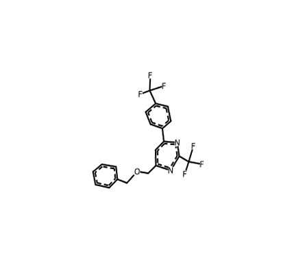 FC(F)(F)c1ccc(-c2cc(COCc3ccccc3)nc(C(F)(F)F)n2)cc1